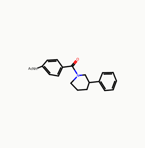 CC(=O)Nc1ccc(C(=O)N2CCCC(c3ccccc3)C2)cc1